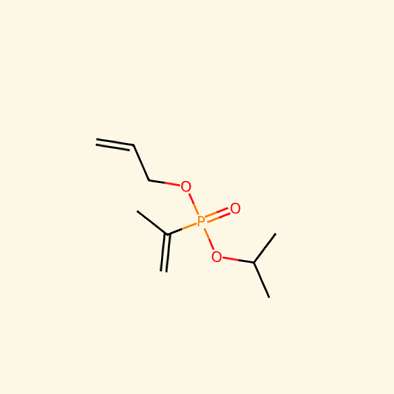 C=CCOP(=O)(OC(C)C)C(=C)C